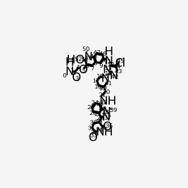 CNC(=O)COC1=Cc2cc(Nc3nc(N4CCC[C@H](CCNc5cccc6c(C7CCC(=O)NC7=O)nn(C)c56)C4)ncc3Cl)ccc2N(C)C1O